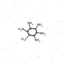 Cc1c(N)c(N)c(N)c(N)c1N